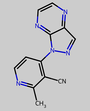 Cc1nccc(-n2ncc3nccnc32)c1C#N